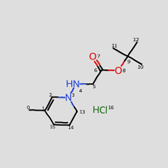 CC1=CN(NCC(=O)OC(C)(C)C)CC=C1.Cl